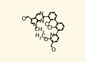 COc1nc(-c2cccc(-c3cccc(-c4ncc5c(C=O)cn(C)c5n4)c3Cl)c2Cl)ccc1C=O